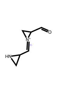 O=CC1C/[N+]1=C\C1CN1